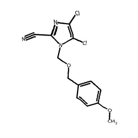 COc1ccc(COCn2c(C#N)nc(Cl)c2Cl)cc1